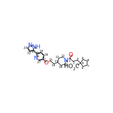 O=C(CCC1(C(=O)O)CCCC1)N1CCC(CCOc2ccc(-c3ccn[nH]3)nc2)CC1